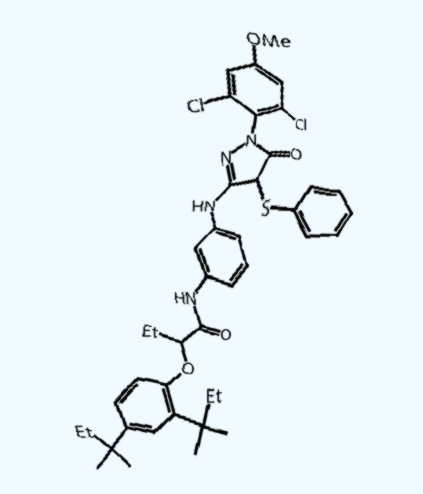 CCC(Oc1ccc(C(C)(C)CC)cc1C(C)(C)CC)C(=O)Nc1cccc(NC2=NN(c3c(Cl)cc(OC)cc3Cl)C(=O)C2Sc2ccccc2)c1